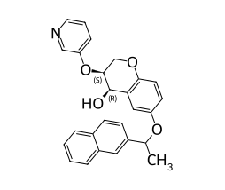 CC(Oc1ccc2c(c1)[C@@H](O)[C@@H](Oc1cccnc1)CO2)c1ccc2ccccc2c1